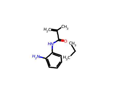 C=C(C)C(=O)Nc1ccccc1N.CCC